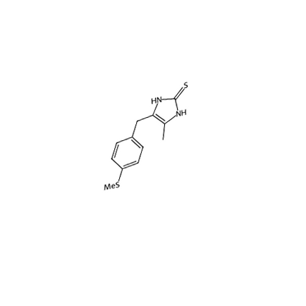 CSc1ccc(Cc2[nH]c(=S)[nH]c2C)cc1